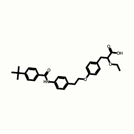 CCOC(Cc1ccc(OCCc2ccc(NC(=O)c3ccc(C(C)(C)C)cc3)cc2)cc1)C(=O)O